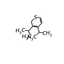 CC(C)C1=C(C(C)C)CSC=C1